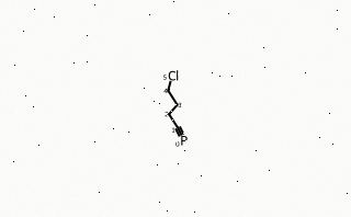 P#CCCCCl